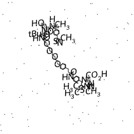 Cc1ncsc1-c1ccc([C@H](C)NC(=O)[C@@H]2C[C@@H](O)CN2C(=O)[C@@H](NC(=O)COCCOCCOCCOc2ccc(CCC(=O)Nc3ccc(C4=N[C@@H](CC(=O)O)c5nnc(C)n5-c5sc(C)c(C)c54)cc3)cc2)C(C)(C)C)cc1